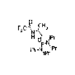 CC(COP(N(C(C)C)C(C)C)N(C(C)C)C(C)C)NC(=O)C(F)(F)F